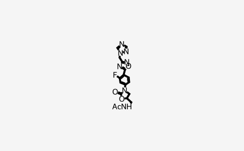 CC(=O)NCC1CN(c2ccc(-c3nc(Cn4cncn4)no3)c(F)c2)C(=O)O1